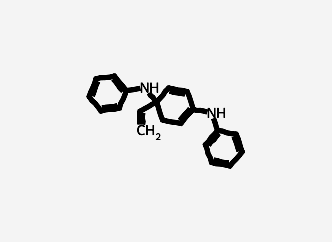 C=CC1(Nc2ccccc2)C=CC(Nc2ccccc2)=CC1